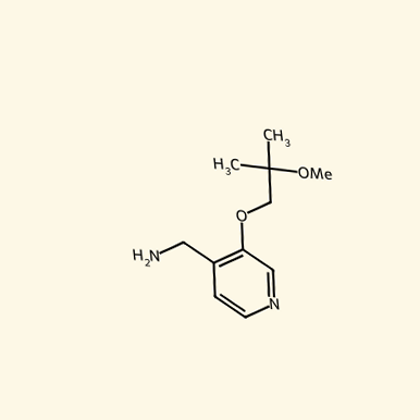 COC(C)(C)COc1cnccc1CN